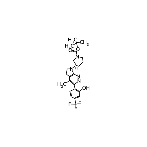 Cc1c(-c2ccc(C(F)(F)F)cc2O)nnc2c1CCN2[C@@H]1CCCN(C(=O)OC(C)(C)C)C1